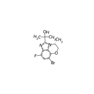 C[C@@H]1COc2c(Br)cc(F)c3nc(C(C)(C)O)n1c23